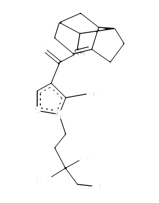 CC(C)COc1c(C(=O)NC2C3CC=C4CCC2C4C3)cnn1CCC(C)(C)CO